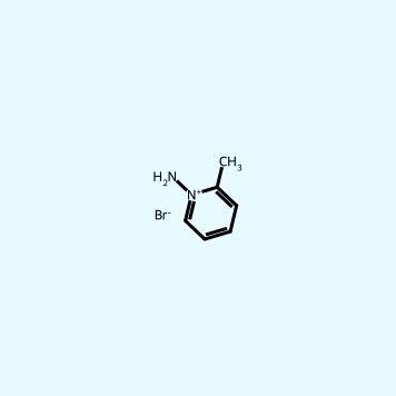 Cc1cccc[n+]1N.[Br-]